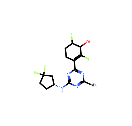 CCCCc1nc(N[C@@H]2CCC(F)(F)C2)nc(C2=C(F)C(O)C(F)CC2)n1